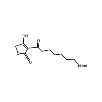 CCCCCCCCCCCCCCCC(=O)C1=C(O)COC1=O